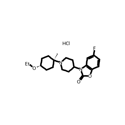 CCO[C@H]1CC[C@](C)(N2CCC(n3c(=O)oc4ccc(F)cc43)CC2)CC1.Cl